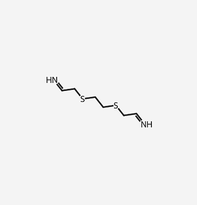 N=CCSCCSCC=N